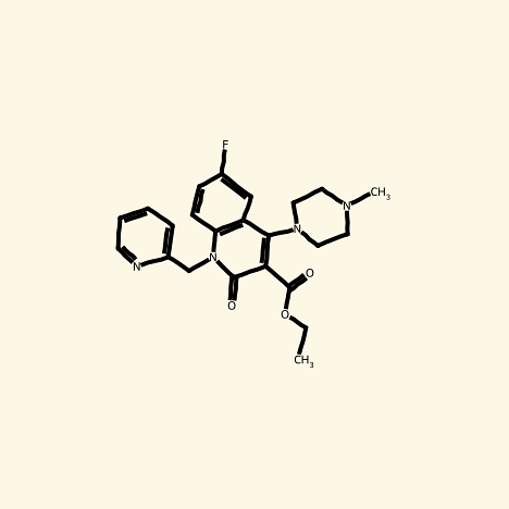 CCOC(=O)c1c(N2CCN(C)CC2)c2cc(F)ccc2n(Cc2ccccn2)c1=O